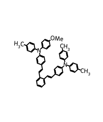 COc1ccc(N(c2ccc(C)cc2)c2ccc(C=Cc3ccccc3C=Cc3ccc(N(c4ccc(C)cc4)c4ccc(C)cc4)cc3)cc2)cc1